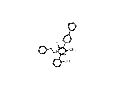 Cc1nc(-c2ccccc2O)n(CCc2ccccc2)c(=O)c1-c1ccc(-c2ccccc2)cc1